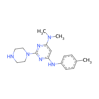 Cc1ccc(Nc2cc(N(C)C)nc(N3CCNCC3)n2)cc1